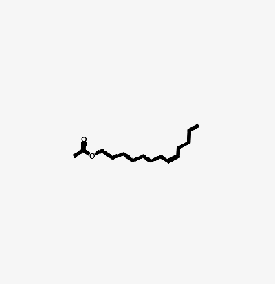 CCCC/C=C\CCCCCCCOC(C)=O